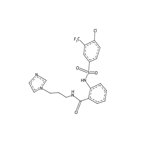 O=C(NCCCn1ccnc1)c1ccccc1NS(=O)(=O)c1ccc(Cl)c(C(F)(F)F)c1